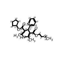 COCCOC(=O)C1=C(C)NC(C)=C(C(=O)OC2CCCC2)C1c1ccccn1